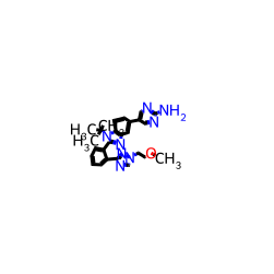 COCCn1cnc(-c2ccccc2-c2nc3cc(-c4cnc(N)nc4)ccc3n2C(C)(C)C)n1